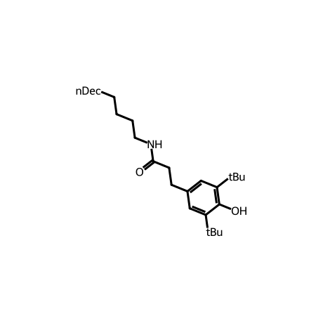 CCCCCCCCCCCCCCNC(=O)CCc1cc(C(C)(C)C)c(O)c(C(C)(C)C)c1